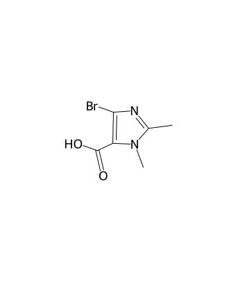 Cc1nc(Br)c(C(=O)O)n1C